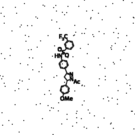 COc1ccc(C2CC(c3ccc(NS(=O)(=O)c4cccc(C(F)(F)F)c4)cc3)=NN2C(C)=O)cc1